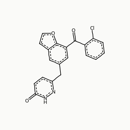 O=C(c1ccccc1Cl)c1cc(Cc2ccc(=O)[nH]n2)cc2ccoc12